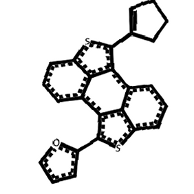 C1=C(c2sc3cccc4c5c(-c6ccco6)sc6cccc(c2c34)c65)CCC1